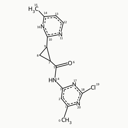 Cc1cc(NC(=O)C2CC2c2nccc(C)n2)nc(Cl)n1